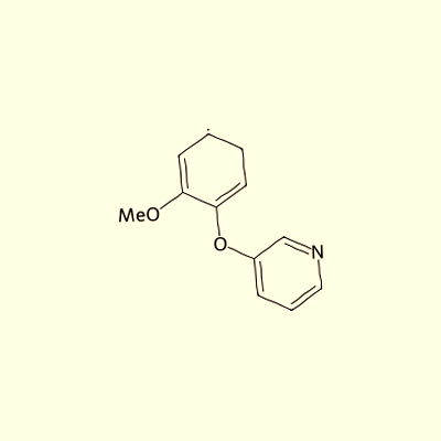 COC1=C[CH]CC=C1Oc1cccnc1